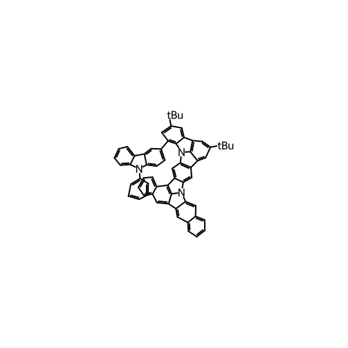 CC(C)(C)c1cc(-c2ccc3c(c2)c2ccccc2n3-c2ccccc2)c2c(c1)c1cc(C(C)(C)C)cc3c4cc5c(cc4n2c31)c1c2ccccc2cc2c3cc4ccccc4cc3n5c21